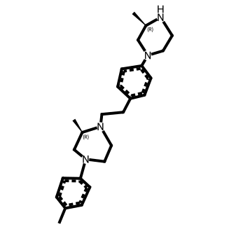 Cc1ccc(N2CCN(CCc3ccc(N4CCN[C@H](C)C4)cc3)[C@H](C)C2)cc1